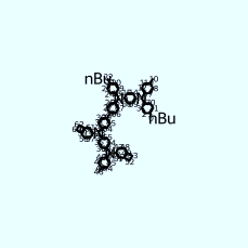 CCCCc1ccc(N(c2ccc(C)cc2)c2ccc(N(c3ccc(CCCC)cc3)c3ccc(-c4ccc(N(c5ccc(N(c6ccc(C)cc6)c6ccc7c(c6)CC7)cc5)c5ccc6c(c5)CC6)cc4)cc3)cc2)cc1